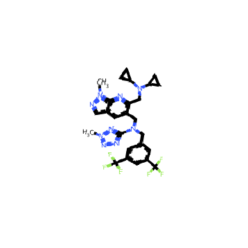 Cn1nnc(N(Cc2cc(C(F)(F)F)cc(C(F)(F)F)c2)Cc2cc3cnn(C)c3nc2CN(C2CC2)C2CC2)n1